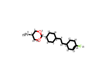 CCC[C@H]1CO[C@H](C2CCC(CCC3CC=C(F)CC3)CC2)OC1